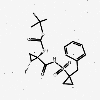 CC(C)(C)OC(=O)N[C@]1(C(=O)NS(=O)(=O)C2(Cc3ccccc3)CC2)C[C@H]1I